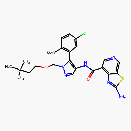 COc1ccc(Cl)cc1-c1c(NC(=O)c2cncc3sc(N)nc23)cnn1COCC[Si](C)(C)C